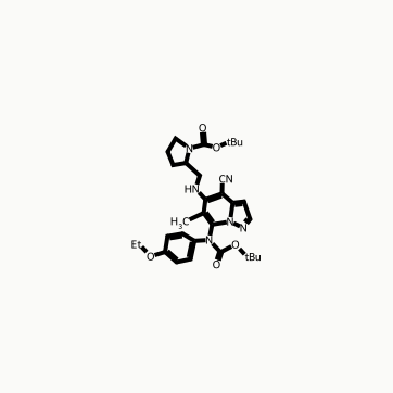 CCOc1ccc(N(C(=O)OC(C)(C)C)c2c(C)c(NCC3CCCN3C(=O)OC(C)(C)C)c(C#N)c3ccnn23)cc1